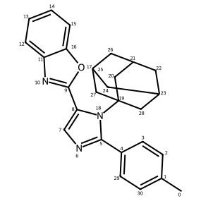 Cc1ccc(-c2ncc(-c3nc4ccccc4o3)n2C23CC4CC(CC(C4)C2)C3)cc1